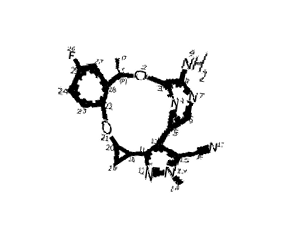 C[C@H]1Oc2nc(cnc2N)-c2c(nn(C)c2C#N)C2CC2Oc2ccc(F)cc21